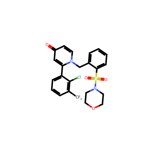 O=c1ccn(Cc2ccccc2S(=O)(=O)N2CCOCC2)c(-c2cccc(C(F)(F)F)c2Cl)c1